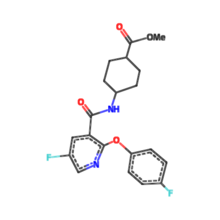 COC(=O)C1CCC(NC(=O)c2cc(F)cnc2Oc2ccc(F)cc2)CC1